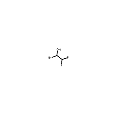 CC(C)C(O)C(F)F